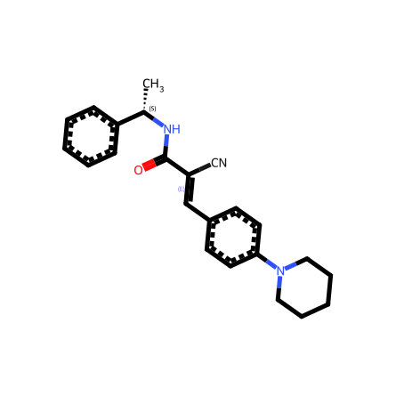 C[C@H](NC(=O)/C(C#N)=C/c1ccc(N2CCCCC2)cc1)c1ccccc1